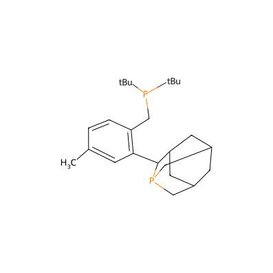 Cc1ccc(CP(C(C)(C)C)C(C)(C)C)c(C2C3CC4CC(C3)CP2C4)c1